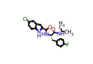 CC(C)NC(=O)[C@H](Cc1ccc(F)cc1)NC(=O)c1cc2cc(Cl)ccc2[nH]1